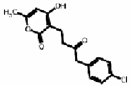 Cc1cc(O)c(CCC(=O)Cc2ccc(Cl)cc2)c(=O)o1